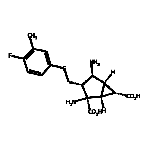 Cc1cc(SC[C@@H]2[C@@H](N)[C@H]3[C@H](C(=O)O)[C@H]3[C@]2(N)C(=O)O)ccc1F